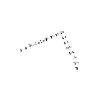 [Al+3].[Al+3].[Al+3].[N-3].[N-3].[N-3].[N-3].[N-3].[N-3].[N-3].[Ti+4].[Ti+4].[Ti+4].[Ti].[Ti].[Ti]